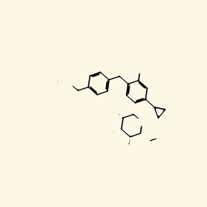 CCc1ccc(Cc2cc([C@@H]3O[C@H](CO)[C@@H](O)[C@H](O)[C@H]3O)c(C3CC3)cc2Cl)cc1